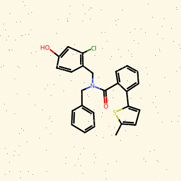 Cc1ccc(-c2ccccc2C(=O)N(Cc2ccccc2)Cc2ccc(O)cc2Cl)s1